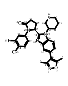 Cc1noc(C)c1-c1ccc2c(c1)nc([C@@H]1CCC(=O)N1c1ccc(Cl)c(F)c1)n2C1CCCSC1